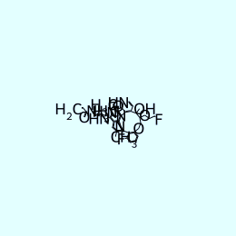 C=CC(=O)NCCNc1nc(=O)n2c3nc(c(C)cc13)-c1c(F)cccc1OCC(OCCF)C(O)C1=C2C(C(C)C)NC=C1